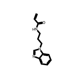 C=CC(=O)NCCCn1cnc2ccccc21